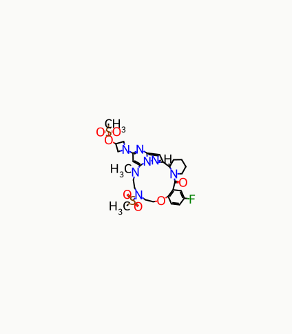 CN1CCN(S(C)(=O)=O)CCOc2ccc(F)cc2C(=O)N2CCCC[C@H]2c2cc3nc(N4CC(OS(C)(=O)=O)C4)cc1n3n2